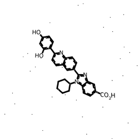 O=C(O)c1ccc2c(c1)nc(-c1ccc3nc(-c4ccc(O)cc4O)ccc3c1)n2C1CCCCC1